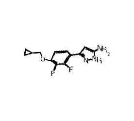 Nc1cc(-c2ccc(OCC3CC3)c(F)c2F)n[nH]1